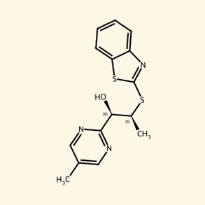 Cc1cnc([C@@H](O)[C@H](C)Sc2nc3ccccc3s2)nc1